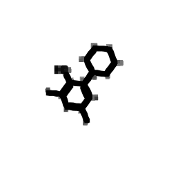 Cc1cc(C)c(O)c(C2CCCCC2)c1